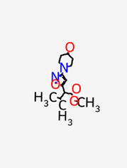 COC(=O)C(c1cc(N2CCC(=O)CC2)no1)C(C)C